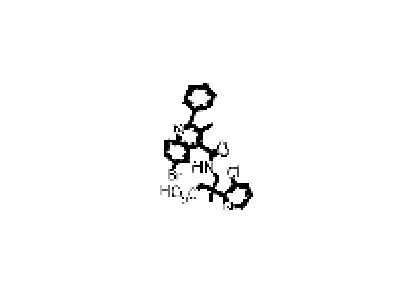 Cc1c(-c2ccccc2)nc2ccc(Br)cc2c1C(=O)NCC(C)(CC(=O)O)c1ncccc1Cl